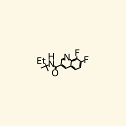 CCC(C)(C)NC(=O)c1cnc2c(F)c(F)ccc2c1